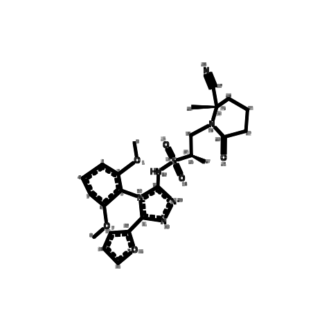 COc1cccc(OC)c1-n1c(NS(=O)(=O)[C@H](C)CN2C(=O)CCC[C@@]2(C)C#N)nnc1-c1ccco1